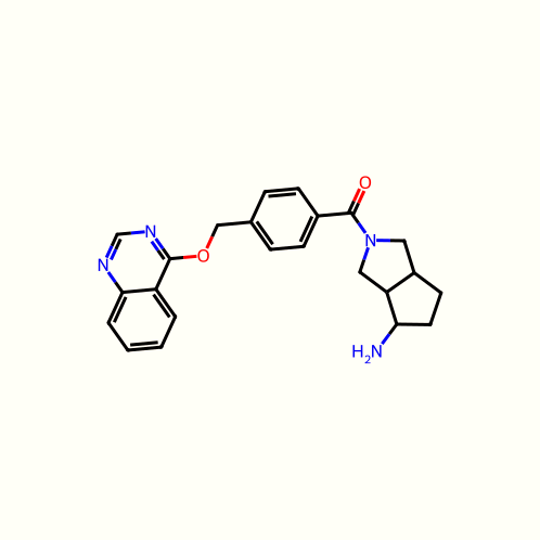 NC1CCC2CN(C(=O)c3ccc(COc4ncnc5ccccc45)cc3)CC12